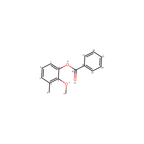 COc1c(C)cccc1OC(=O)c1ccccc1